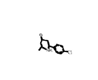 CC1=CC(=O)CC(c2ccc(Cl)cc2)N1